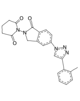 Cc1ccccc1-c1cn(-c2ccc3c(c2)CN(N2C(=O)CCCC2=O)C3=O)nn1